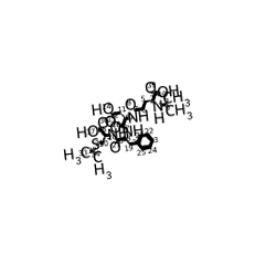 CC(C)N[C@@H](CCC(=O)N[C@@H](CC(=O)O)C(=O)N[C@@H](Cc1ccccc1)C(=O)N[C@@H](CSC(C)C)C(=O)O)C(=O)O